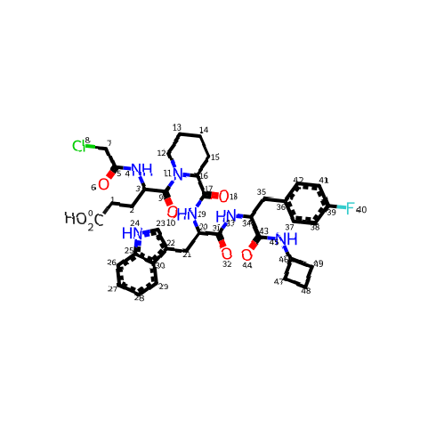 O=C(O)CCC(NC(=O)CCl)C(=O)N1CCCCC1C(=O)NC(Cc1c[nH]c2ccccc12)C(=O)NC(Cc1ccc(F)cc1)C(=O)NC1CCC1